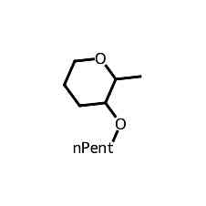 CCCCCOC1CCCOC1C